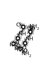 NC(=O)c1cnccc1Oc1ccc(CNCCc2ccc(S(N)(=O)=O)cc2)cc1.NC(=O)c1cnccc1Oc1ccc(CNCCc2cccc(Cl)c2)cc1